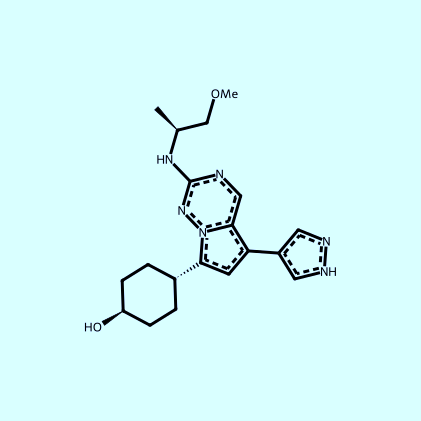 COC[C@H](C)Nc1ncc2c(-c3cn[nH]c3)cc([C@H]3CC[C@H](O)CC3)n2n1